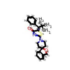 BC(B)(B)/C(=C1\SC(N2CCC3(CC2)OCc2ccccc23)=NC1=O)c1ccccc1